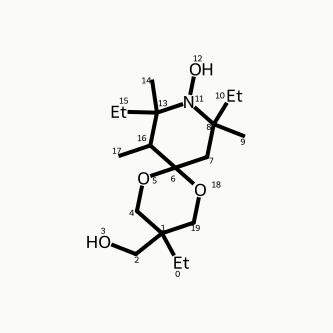 CCC1(CO)COC2(CC(C)(CC)N(O)C(C)(CC)C2C)OC1